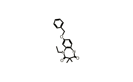 CCN1C(=O)C(C)(C)C(=O)[N]c2ccc(OCc3ccccc3)cc21